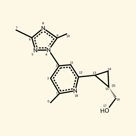 Cc1cc(-n2nc(C)nc2C)cc(C2C[C@@H]2CO)n1